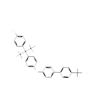 CC(C)(C)c1ccc(-c2ccc(Oc3ccc(C(c4ccc(O)cc4)(C(F)(F)F)C(F)(F)F)cc3)cc2)cc1